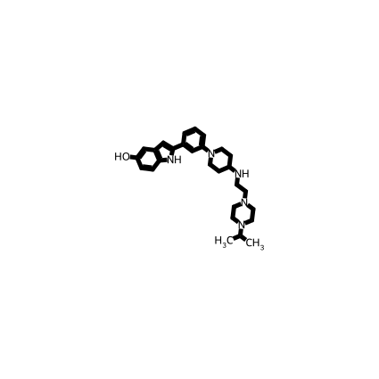 CC(C)N1CCN(CCNC2CCN(c3cccc(-c4cc5cc(O)ccc5[nH]4)c3)CC2)CC1